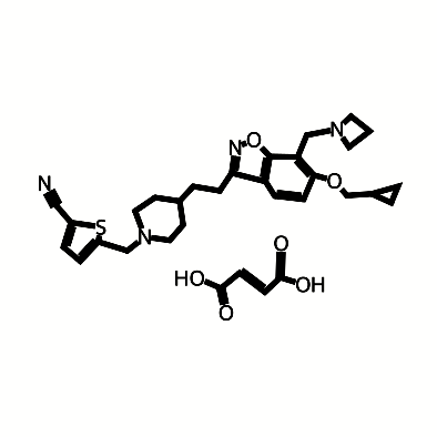 N#Cc1ccc(CN2CCC(CCc3noc4c(CN5CCC5)c(OCC5CC5)ccc34)CC2)s1.O=C(O)/C=C/C(=O)O